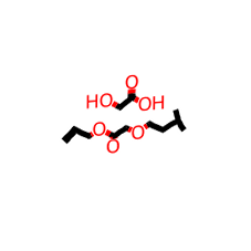 C=CCOC(=O)COCCC(C)C.O=C(O)CO